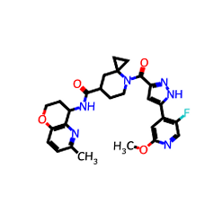 COc1cc(-c2cc(C(=O)N3CCC(C(=O)NC4CCOc5ccc(C)nc54)CC34CC4)n[nH]2)c(F)cn1